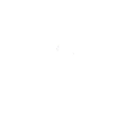 FC(F)(F)c1ccc2[nH]cc(Sc3ccccc3Br)c2c1